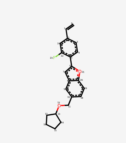 C=Cc1ccc(-c2cc3cc(COC4CCCC4)ccc3o2)c(F)c1